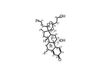 C[C@@H]1C[C@H]2[C@@H]3C[C@H](F)C4=CC(=O)C=C[C@]4(C)[C@@]3(F)[C@@H](O)C[C@]2(C)[C@@]1(OC(=O)CCO)C(=O)SCF